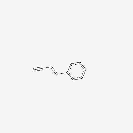 C#CC=Cc1ccccc1